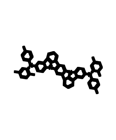 CC1=CCC(C)C(N(c2ccc(C)cc2)c2ccc3c(c2)c2cccc4c5cc6c(cc5n3c24)c2cccc3c4cc(N(c5ccc(C)cc5)c5cc(C)ccc5C)ccc4n6c32)=C1